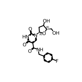 O=C(NCc1ccc(F)cc1)c1cn([C@H]2CC(O)[C@@H](CO)O2)c(=O)[nH]c1=O